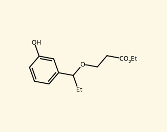 CCOC(=O)CCOC(CC)c1cccc(O)c1